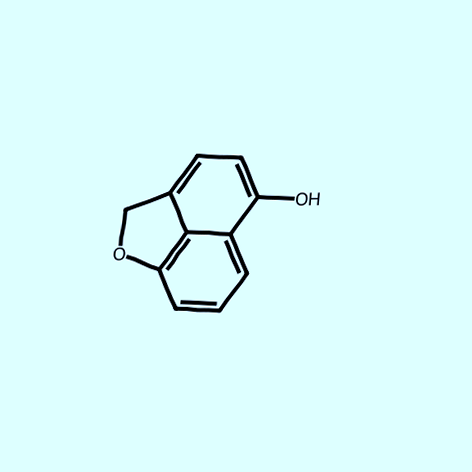 Oc1ccc2c3c(cccc13)OC2